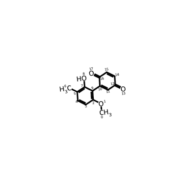 COc1ccc(C)c(O)c1C1=CC(=O)C=CC1=O